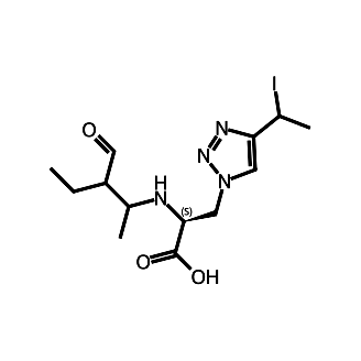 CCC(C=O)C(C)N[C@@H](Cn1cc(C(C)I)nn1)C(=O)O